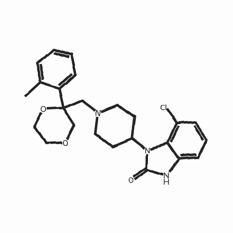 Cc1ccccc1C1(CN2CCC(n3c(=O)[nH]c4cccc(Cl)c43)CC2)COCCO1